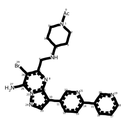 CC(=O)N1CCC(NCc2nc3c(-c4ccc(-c5cccnc5)nc4)cnn3c(N)c2Br)CC1